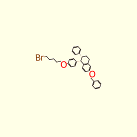 BrCCCCCOc1ccc([C@H]2c3ccc(OCc4ccccc4)cc3CC[C@H]2c2ccccc2)cc1